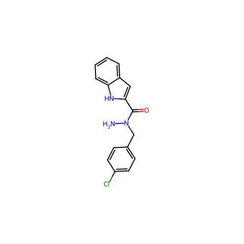 NN(Cc1ccc(Cl)cc1)C(=O)c1cc2ccccc2[nH]1